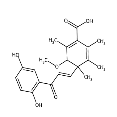 COC1C(C)=C(C(=O)O)C(C)=C(C)C1(C)C=CC(=O)c1cc(O)ccc1O